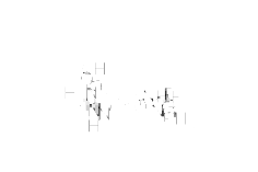 COc1ccc(Cc2c(-c3ccc(CC(=O)Nc4cnc(OC)c(C(F)(F)F)c4)cc3)cnc3[nH]nc(N)c23)cc1